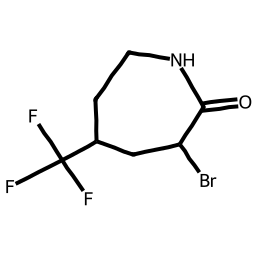 O=C1NCCC(C(F)(F)F)CC1Br